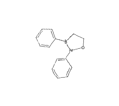 c1ccc(B2CCON2c2ccccc2)cc1